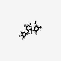 CCOc1cc(Nc2nc(=O)c(F)cn2Cc2cc(F)c(F)c(F)c2)c(C)cc1F